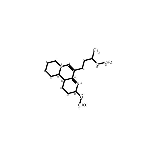 NC(CCC1=CN2CCCCC2C2CCC(OC=O)N=C12)OC=O